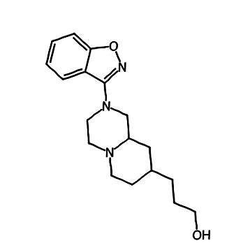 OCCCC1CCN2CCN(c3noc4ccccc34)CC2C1